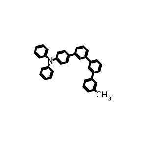 Cc1cccc(-c2cccc(-c3cccc(-c4ccc(N(c5ccccc5)c5ccccc5)cc4)c3)c2)c1